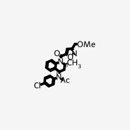 COCc1cc(C(=O)N2c3ccccc3[C@H](N(C(C)=O)c3ccc(Cl)cc3)C[C@@H]2C)on1